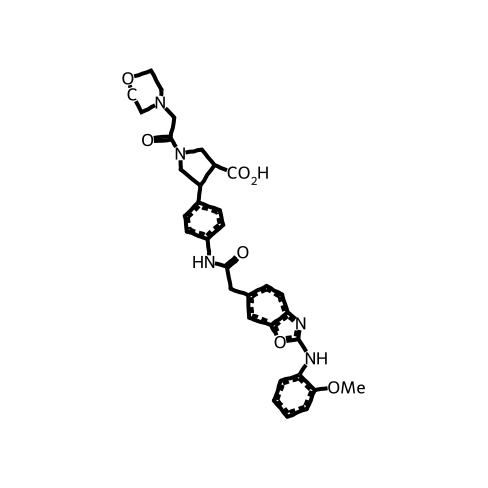 COc1ccccc1Nc1nc2ccc(CC(=O)Nc3ccc(C4CN(C(=O)CN5CCOCC5)CC4C(=O)O)cc3)cc2o1